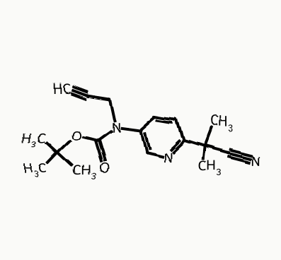 C#CCN(C(=O)OC(C)(C)C)c1ccc(C(C)(C)C#N)nc1